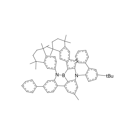 Cc1cc2c3c(c1)N(c1ccc(C(C)(C)C)cc1-c1ccccc1)c1sc4cc5c(cc4c1B3N(c1ccc3c(c1)C(C)(C)CCC3(C)C)c1cc(-c3ccccc3)ccc1-2)C(C)(C)CCC5(C)C